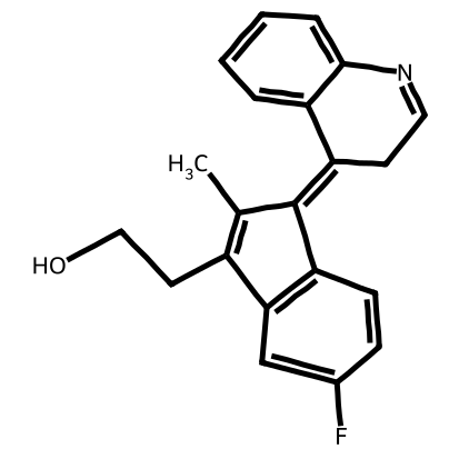 CC1=C(CCO)c2cc(F)ccc2C1=C1CC=Nc2ccccc21